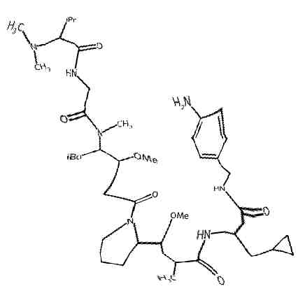 CCC(C)C(C(CC(=O)N1CCCC1C(OC)C(C)C(=O)NC(CC1CC1)C(=O)NCc1ccc(N)cc1)OC)N(C)C(=O)CNC(=O)C(C(C)C)N(C)C